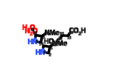 CNC1CNC1.CNC1CNC1.O.O.O=C(O)CCC(=O)O